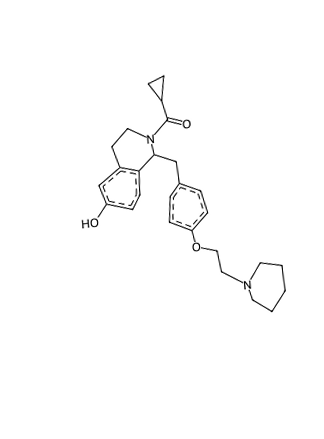 O=C(C1CC1)N1CCc2cc(O)ccc2C1Cc1ccc(OCCN2CCCCC2)cc1